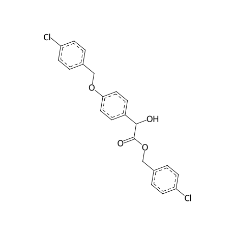 O=C(OCc1ccc(Cl)cc1)C(O)c1ccc(OCc2ccc(Cl)cc2)cc1